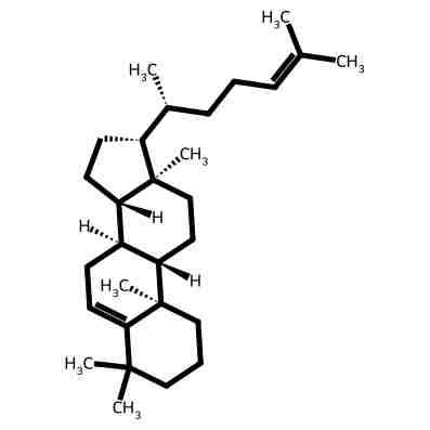 CC(C)=CCC[C@@H](C)[C@H]1CC[C@H]2[C@@H]3CC=C4C(C)(C)CCC[C@]4(C)[C@H]3CC[C@]12C